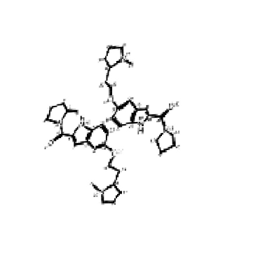 CC1CCCN1C(=O)c1cc2cc(OCCC3CCCN3C)ccc2[nH]1.CN1CCCC1CCOc1ccc2[nH]c(C(=O)N3CCCC3)cc2c1